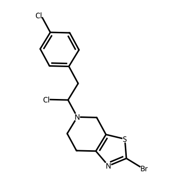 Clc1ccc(CC(Cl)N2CCc3nc(Br)sc3C2)cc1